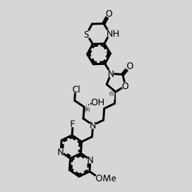 COc1ccc2ncc(F)c(CN(CCC[C@H]3CN(c4ccc5c(c4)NC(=O)CS5)C(=O)O3)C[C@@H](O)CCl)c2n1